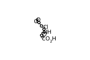 Cc1ccc(C=C2C(=O)Nc3cc(Cl)c(-c4ccc(-c5ccc(S(C)(=O)=O)cc5)cc4)cc32)cc1CC(=O)O